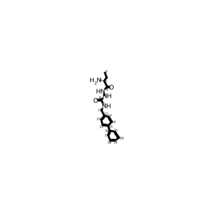 CC[C@@H](N)C(=O)NNC(=O)NCc1ccc(-c2ccccc2)cc1